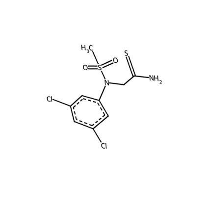 CS(=O)(=O)N(CC(N)=S)c1cc(Cl)cc(Cl)c1